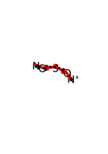 CN(C)CCCOc1ccc(C#Cc2ccc(C#Cc3ccc(OCCC[N+](C)(C)C)cc3)s2)cc1